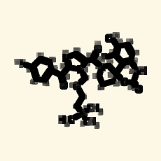 C[Si](C)(C)CCOCn1c(C(=O)N2CCC[C@@]3(C2)OC(=O)Nc2ccc(Cl)c(F)c23)cnc1C(=O)c1ccc(F)cc1